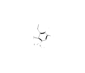 CCc1c(Cl)c(Cl)cc([N+](=O)[O-])c1Cl